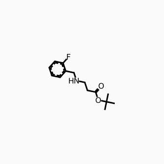 CC(C)(C)OC(=O)CCNCc1ccccc1F